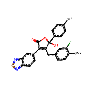 COc1ccc(CC2=C(c3ccc4nsnc4c3)C(=O)OC2(O)c2ccc(C)cc2)cc1F